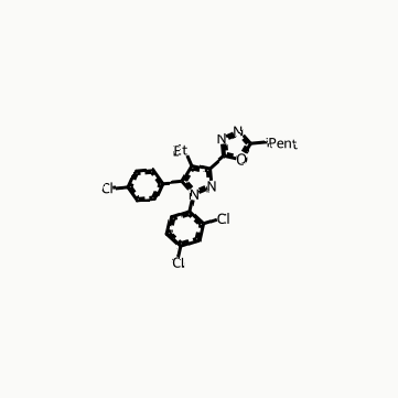 CCCC(C)c1nnc(-c2nn(-c3ccc(Cl)cc3Cl)c(-c3ccc(Cl)cc3)c2CC)o1